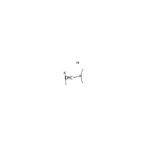 CN(C)C=O.I.[K][I]